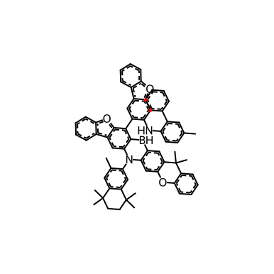 Cc1ccc(Nc2cc3oc4ccccc4c3cc2-c2c3c(cc4c2oc2ccccc24)N(c2cc4c(cc2C)C(C)(C)CCC4(C)C)c2cc4c(cc2B3)C(C)(C)c2ccccc2O4)c(-c2ccccc2)c1